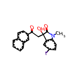 CN1C(=O)C(O)(CC(=O)c2ccc3ccccc3c2)c2cc(I)ccc21